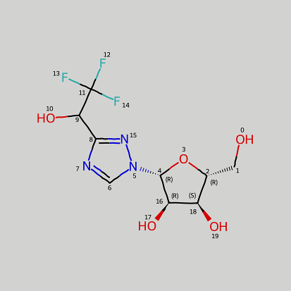 OC[C@H]1O[C@@H](n2cnc(C(O)C(F)(F)F)n2)[C@H](O)[C@@H]1O